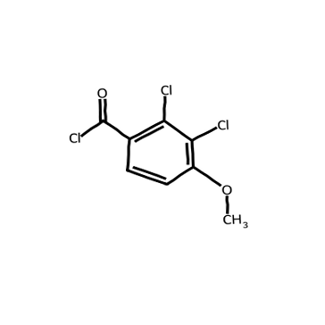 COc1ccc(C(=O)Cl)c(Cl)c1Cl